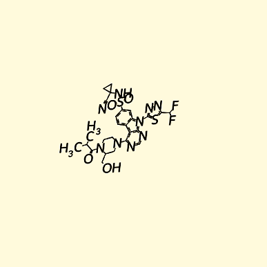 CC(C)C(=O)N1CCN(c2ncnc3c2c2ccc(S(=O)(=O)NC4(C#N)CC4)cc2n3-c2nnc(C(F)F)s2)CC1CO